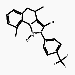 CC1Cc2cccc(F)c2N2C1=C(O)N(c1ccc(C(F)(F)F)cc1)[NH+]2[O-]